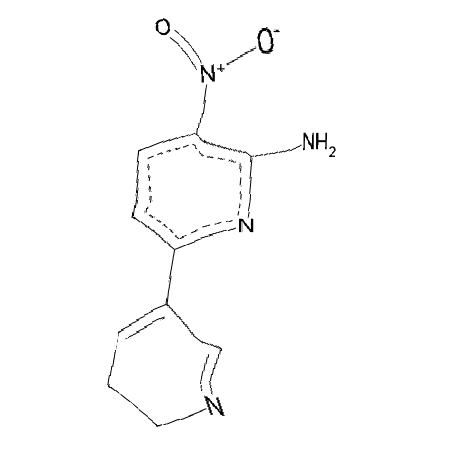 Nc1nc(C2=CCCN=C2)ccc1[N+](=O)[O-]